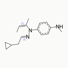 C/C=C(/C)N(/N=C/CC1CC1)c1ccc(NC)cc1